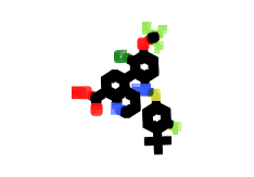 CC(C)(C)c1ccc(SNc2ccc(OC(F)(F)F)c(Cl)c2-c2ccc(C(=O)O)c3ncccc23)cc1F